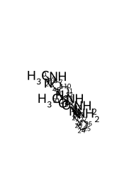 Cc1nc2cc3c(cc2[nH]1)CC[C@H](NC(=O)/C(N)=N/N(N)Cc1ccccc1)C(=O)N3C